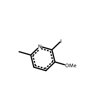 COc1ccc(C)nc1I